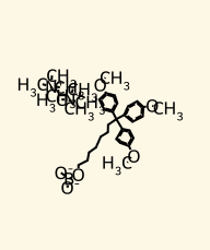 COc1ccc(C(CCCCCCCOB([O-])[O-])(c2ccc(OC)cc2)c2ccc(OC)cc2)cc1.C[N+](C)(C)C.C[N+](C)(C)C